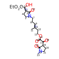 CCOC(=O)/C(O)=C1\CCN(CC/C=C(\C)CCOC(=O)C(=O)C2CCN(C)C2=O)C1=O